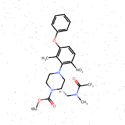 Cc1c(Oc2ccccc2)ccc([N+](=O)[O-])c1N1CCN(C(=O)OC(C)(C)C)[C@@H](CN(C)C(=O)C(F)(F)F)C1